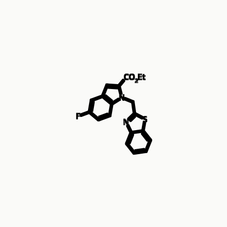 CCOC(=O)c1cc2cc(F)ccc2n1Cc1nc2ccccc2s1